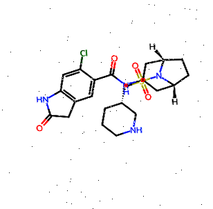 O=C1Cc2cc(C(=O)N[C@@H]3C[C@H]4CC[C@@H](C3)N4S(=O)(=O)C[C@H]3CCCNC3)c(Cl)cc2N1